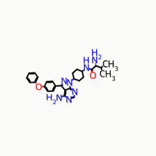 CC(C)[C@@H](N)C(=O)NC1CCC(n2nc(-c3ccc(Oc4ccccc4)cc3)c3c(N)ncnc32)CC1